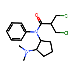 CN(C)C1CCCC1N(C(=O)C(CCl)CCl)c1ccccc1